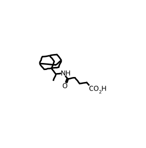 CC(NC(=O)CCCC(=O)O)C12CC3CC(CC(C3)C1)C2